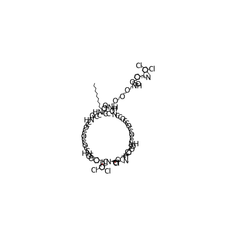 CCCCCCCCCCC(=O)NC1(CCC(=O)NCCOCCOCCOCCNS(=O)(=O)c2cccc([C@@H]3CN(C)Cc4c(Cl)cc(Cl)cc43)c2)CCC(=O)NCCOCCOCCOCCNS(=O)(=O)c2cccc(c2)[C@@H]2CN(Cc3c(Cl)cc(Cl)cc32)c2c(Cl)cc3c(c2Cl)CN(C)C[C@H]3c2cccc(c2)S(=O)(=O)NCCOCCOCCOCCNC(=O)CC1